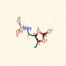 Cc1oc(=O)oc1CN[SH](=O)=O